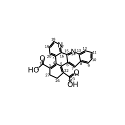 O=C(O)C1=c2c(c3cc4ccccc4nc3c3ncccc23)=C(C(=O)O)CC1